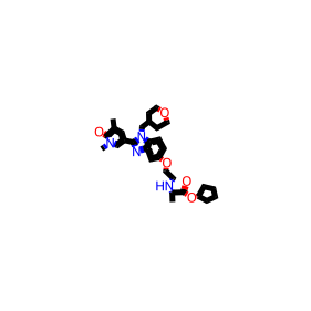 Cc1cc(-c2nc3cc(OCCNC(C)C(=O)OC4CCCC4)ccc3n2CC2CCOCC2)cn(C)c1=O